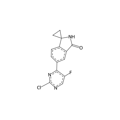 O=C1NC2(CC2)c2ccc(-c3nc(Cl)ncc3F)cc21